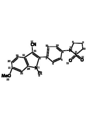 CCn1c(-c2ccc(N3CCCS3(=O)=O)cc2)c(C#N)c2ccc(OC)cc21